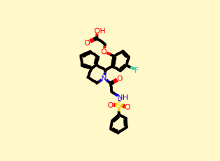 O=C(O)COc1ccc(F)cc1C1c2ccccc2CCN1C(=O)CNS(=O)(=O)c1ccccc1